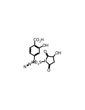 O=C1CC(O)C(=O)N1S(=O)(=O)O.[N-]=[N+]=Nc1ccc(C(=O)O)c(O)c1